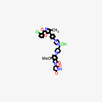 COc1cc(N2CCC(CN3CCN(c4ccc(-c5c(C)cnc6c(=O)c7c(Cl)cccc7oc56)cc4)CC3)CC2)cc2c1CN(C1CCC(=O)NC1=O)C2=O.Cl